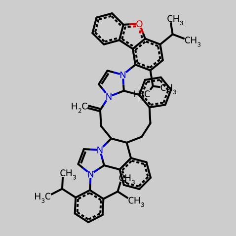 C=C1CC2C(CCc3ccccc3C3N1C=CN3c1c(C(C)C)cc(C(C)C)c3oc4ccccc4c13)c1ccccc1C1N(c3c(C(C)C)cccc3C(C)C)C=CN21